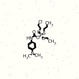 CCCSP(=NCCCl)(OCC)OC(=O)Nc1ccc(N(C)C)cc1